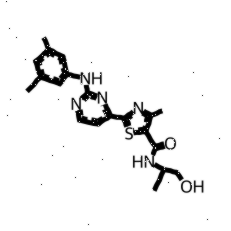 Cc1cc(C)cc(Nc2nccc(-c3nc(C)c(C(=O)NC(C)CO)s3)n2)c1